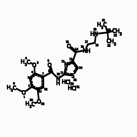 COc1cc(OC)c(C(=O)Nc2nc(C(=O)NCCNC(C)(C)C)cs2)cc1OC.Cl.Cl